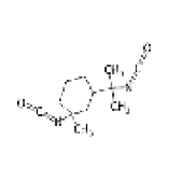 CC1(N=C=O)CCCC(C(C)(C)N=C=O)C1